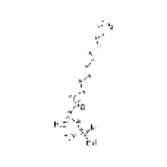 CCCCCCCCCCCC(=O)CC(C)C[C@@H](N)C(=O)O